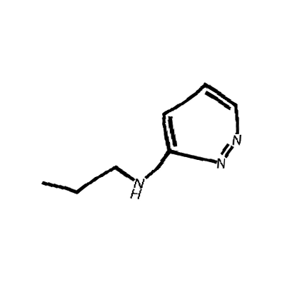 CCCNc1cccnn1